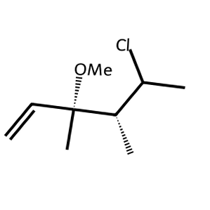 C=C[C@@](C)(OC)[C@@H](C)C(C)Cl